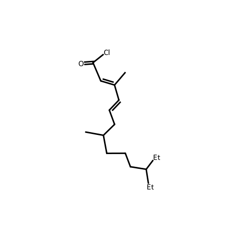 CCC(CC)CCCC(C)CC=CC(C)=CC(=O)Cl